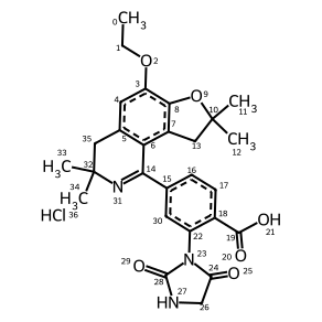 CCOc1cc2c(c3c1OC(C)(C)C3)C(c1ccc(C(=O)O)c(N3C(=O)CNC3=O)c1)=NC(C)(C)C2.Cl